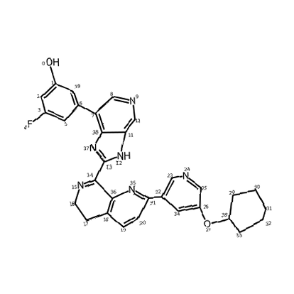 Oc1cc(F)cc(-c2cncc3[nH]c(C4=NCCc5ccc(-c6cncc(OC7CCCCC7)c6)nc54)nc23)c1